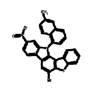 Cc1ccc2c(-n3c4cc([N+](=O)[O-])ccc4c4cc(Br)c5sc6ccccc6c5c43)cccc2c1